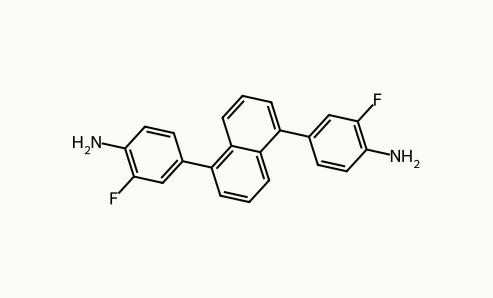 Nc1ccc(-c2cccc3c(-c4ccc(N)c(F)c4)cccc23)cc1F